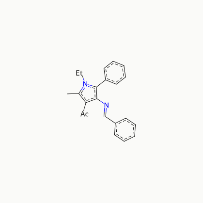 CCn1c(C)c(C(C)=O)c(/N=C/c2ccccc2)c1-c1ccccc1